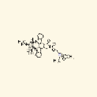 CC[N+]([O-])(/C=C/COC(=O)N1Cc2c(c3c4ccccc4n4c3c3c2c2ccccc2n3[C@H]2O[C@@H]4C[C@@H](NC)[C@H]2OC)C1=O)CC